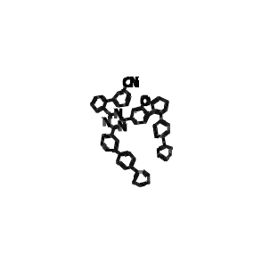 N#Cc1cccc(-c2ccccc2-c2nc(-c3cccc(-c4ccc(-c5ccccc5)cc4)c3)nc(-c3ccc4c(c3)oc3cccc(-c5ccc(-c6ccccc6)cc5)c34)n2)c1